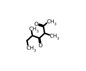 CCC(C)C(=O)C(C)C(C)=O